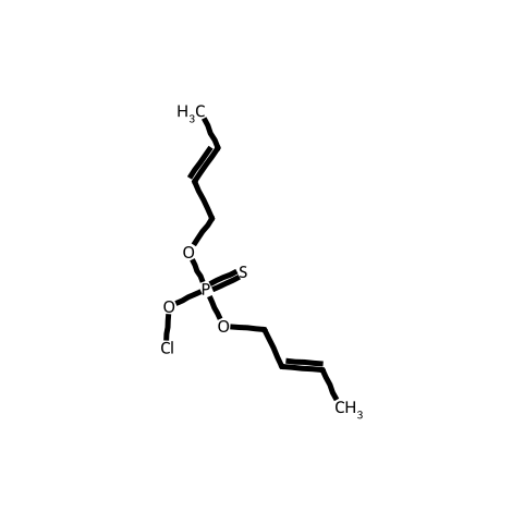 CC=CCOP(=S)(OCl)OCC=CC